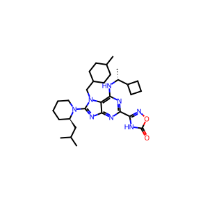 CC(C)C[C@H]1CCCCN1c1nc2nc(-c3noc(=O)[nH]3)nc(N[C@H](C)C3CCC3)c2n1CC1CCC(C)CC1